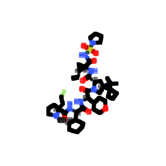 C=C[C@@H]1C[C@]1(NC(=O)[C@@H]1C[C@@]2(CN1C(=O)[C@@H](NC(=O)[C@@H](NC(=O)[C@@]1(CCF)CCCN1C(=O)O)C1CCCCC1)C1CCOCC1)C(C)(C)C21CCC1)C(=O)NS(=O)(=O)N1CCCC1